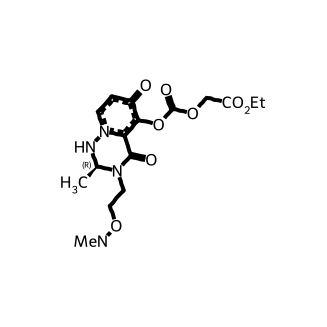 CCOC(=O)COC(=O)Oc1c2n(ccc1=O)N[C@H](C)N(CCONC)C2=O